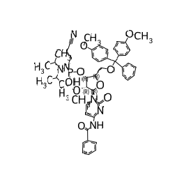 COc1ccc(C(OC[C@H]2O[C@@H](n3ccc(NC(=O)c4ccccc4)nc3=O)[C@H](OC)[C@@H]2OP(O)N(CCC#N)N(C(C)C)C(C)C)(c2ccccc2)c2ccc(OC)cc2)cc1